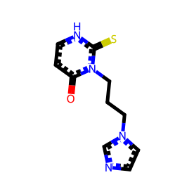 O=c1cc[nH]c(=S)n1CCCn1ccnc1